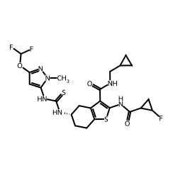 Cn1nc(OC(F)F)cc1NC(=S)N[C@H]1CCc2sc(NC(=O)C3CC3F)c(C(=O)NCC3CC3)c2C1